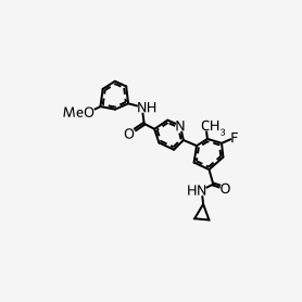 COc1cccc(NC(=O)c2ccc(-c3cc(C(=O)NC4CC4)cc(F)c3C)nc2)c1